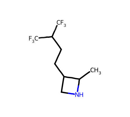 CC1NCC1CCC(C(F)(F)F)C(F)(F)F